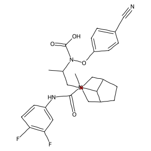 CC(CN1CC2CCC(C1)C2N(C)C(=O)Nc1ccc(F)c(F)c1)N(Oc1ccc(C#N)cc1)C(=O)O